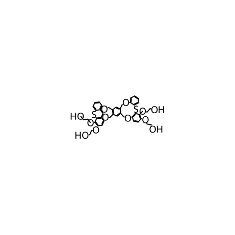 OCCOc1ccc2c(c1OCCO)Sc1ccccc1OCc1cc3c(cc1CO2)COC1(OC3)c2ccccc2Sc2c1ccc(OCCO)c2OCCO